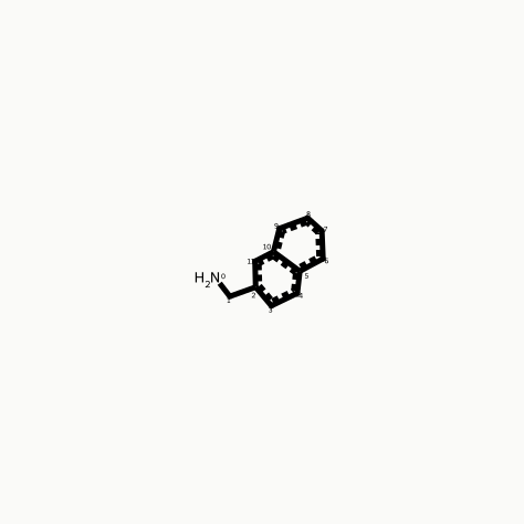 NCc1c[c]c2ccccc2c1